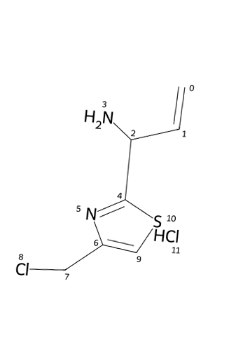 C=CC(N)c1nc(CCl)cs1.Cl